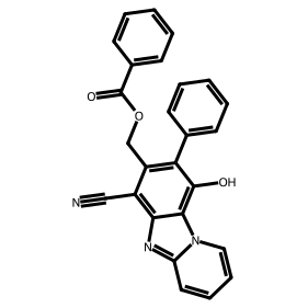 N#Cc1c(COC(=O)c2ccccc2)c(-c2ccccc2)c(O)c2c1nc1ccccn12